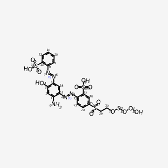 Nc1cc(O)c(/N=N/c2ccccc2S(=O)(=O)O)cc1/N=N/c1ccc(S(=O)(=O)CCOSOOO)cc1S(=O)(=O)O